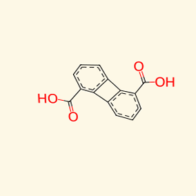 O=C(O)c1cccc2c1-c1cccc(C(=O)O)c1-2